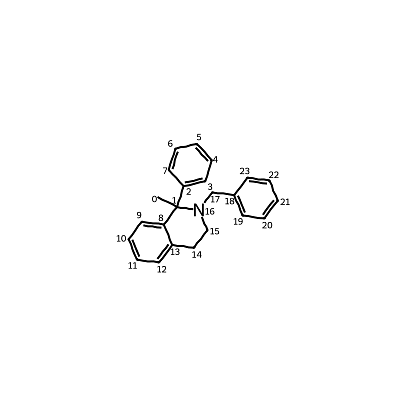 CC1(c2ccccc2)c2ccccc2CCN1Cc1ccccc1